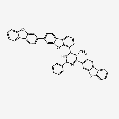 CN1C(c2ccc3c(c2)sc2ccccc23)=NC(c2ccccc2)NC1c1cccc2c1oc1cc(-c3ccc4c(c3)oc3ccccc34)ccc12